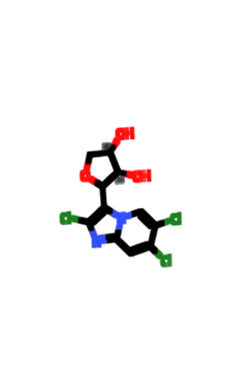 O[C@@H]1COC(c2c(Cl)nc3cc(Cl)c(Cl)cn23)[C@@H]1O